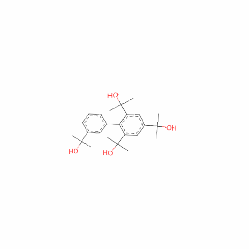 CC(C)(O)c1cccc(-c2c(C(C)(C)O)cc(C(C)(C)O)cc2C(C)(C)O)c1